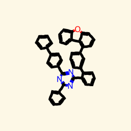 c1ccc(-c2ccc(-c3nc(-c4ccccc4)nc(-c4ccccc4-c4cccc(-c5cccc6oc7ccccc7c56)c4)n3)cc2)cc1